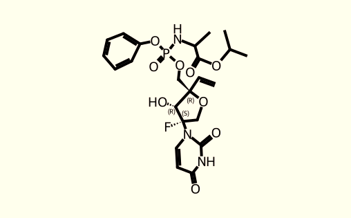 C=C[C@]1(COP(=O)(NC(C)C(=O)OC(C)C)Oc2ccccc2)OC[C@@](F)(n2ccc(=O)[nH]c2=O)[C@@H]1O